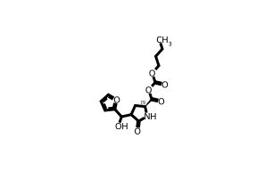 CCCCOC(=O)OC(=O)[C@@H]1CC(C(O)c2ccco2)C(=O)N1